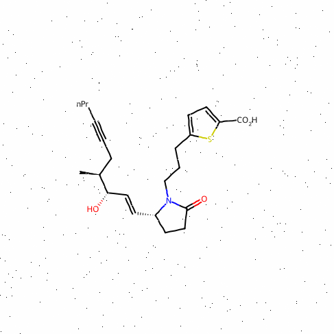 CCCC#CC[C@H](C)[C@@H](O)C=C[C@H]1CCC(=O)N1CCCc1ccc(C(=O)O)s1